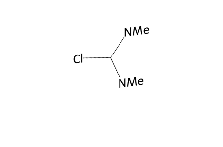 CNC(Cl)NC